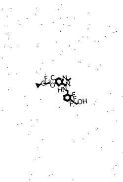 Cc1nc(NCc2cccc(C(F)(F)CO)c2F)c2cc(OCCOC3CC3)c(C(F)(F)F)cc2n1